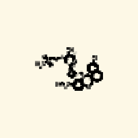 CC1CO[C@H]([C@@H]2CC[C@H]2CN2C[C@@]3(CCCc4cc(Cl)ccc43)COc3ccc(C(=O)O)cc32)C[C@H]1OCCS(N)(=O)=O